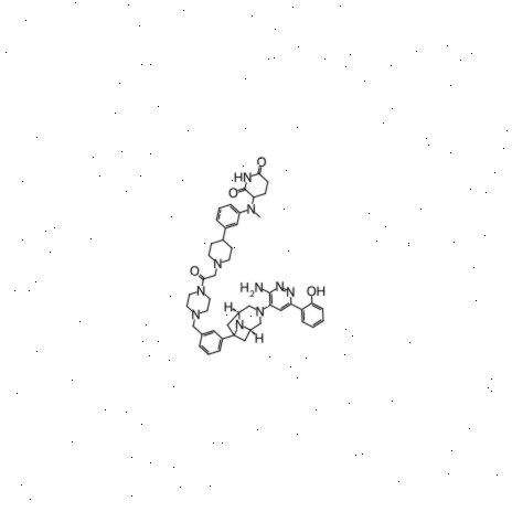 CN(c1cccc(C2CCN(CC(=O)N3CCN(Cc4cccc(C56C[C@H]7CN(c8cc(-c9ccccc9O)nnc8N)C[C@@H](C5)N76)c4)CC3)CC2)c1)C1CCC(=O)NC1=O